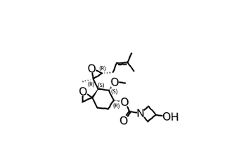 CO[C@@H]1[C@H](OC(=O)N2CC(O)C2)CCC2(CO2)[C@H]1[C@@]1(C)O[C@@H]1CC=C(C)C